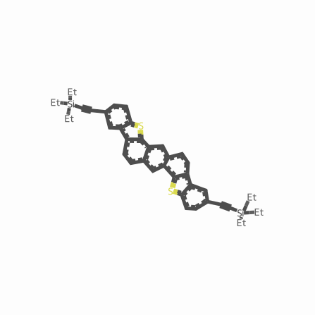 CC[Si](C#Cc1ccc2sc3c4cc5ccc6c7cc(C#C[Si](CC)(CC)CC)ccc7sc6c5cc4ccc3c2c1)(CC)CC